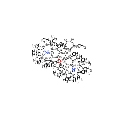 CC1=C(C)C(C)(C)[N+]2=c3c1c(C)c1c(c3C(C)(C)C(C)(C)C2(C)C)Oc2c(c(C)c3c4c2C(C)(C)C(C)(C)C(C)(C)N4C(C)(C)C(C)(C)C3(C)C)C=1c1cc(C)ccc1C(=O)O